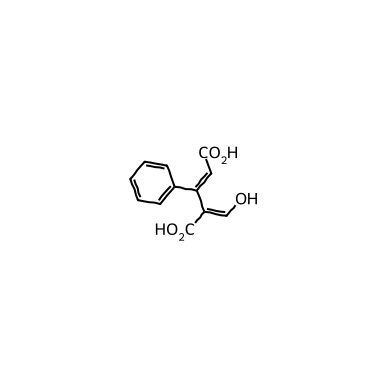 O=C(O)/C=C(/C(=C\O)C(=O)O)c1ccccc1